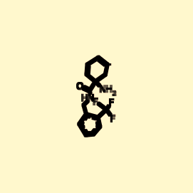 NC1(C(=O)NCc2ccccc2C(F)(F)F)C=CC=[C]C1